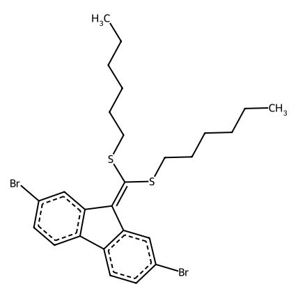 CCCCCCSC(SCCCCCC)=C1c2cc(Br)ccc2-c2ccc(Br)cc21